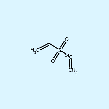 C=CS(=O)(=O)[14CH]=C